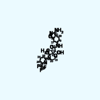 CCC1([C@@H](O)C(=O)Nc2ccc3c(N)noc3c2)OCCN(c2cccc(C(F)(F)F)n2)C1=O